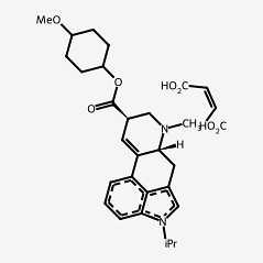 COC1CCC(OC(=O)[C@@H]2C=C3c4cccc5c4c(cn5C(C)C)C[C@H]3N(C)C2)CC1.O=C(O)/C=C\C(=O)O